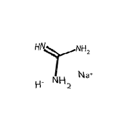 N=C(N)N.[H-].[Na+]